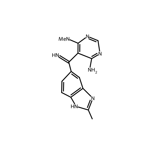 CNc1ncnc(N)c1C(=N)c1ccc2[nH]c(C)nc2c1